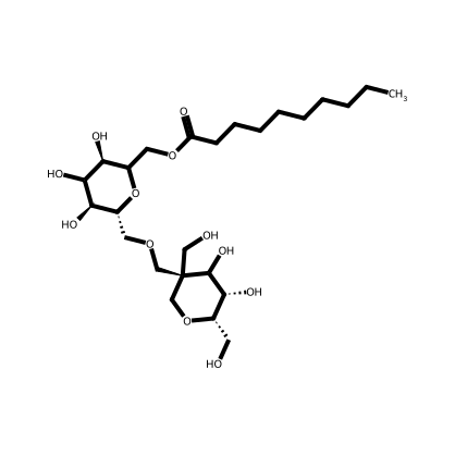 CCCCCCCCCC(=O)OCC1O[C@H](COC[C@]2(CO)CO[C@@H](CO)[C@@H](O)C2O)[C@@H](O)C(O)[C@H]1O